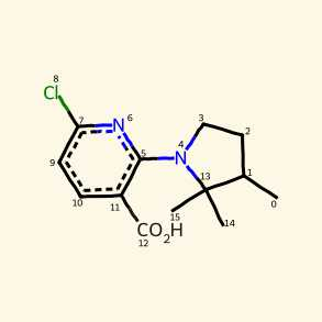 CC1CCN(c2nc(Cl)ccc2C(=O)O)C1(C)C